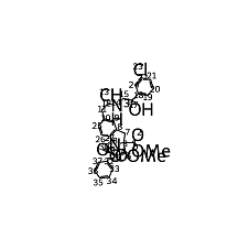 COC(=O)C1(C(=O)OC)Cc2cc(CC(C)NC[C@H](O)c3cccc(Cl)c3)ccc2N1S(=O)(=O)c1ccccc1